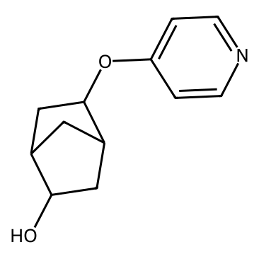 OC1CC2CC1CC2Oc1ccncc1